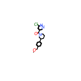 COCc1ccc(C2CCCN(C(=O)c3cnnc(Cl)c3)C2)cc1